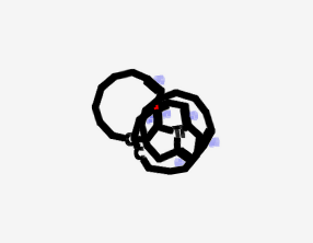 C1=C\CCCCCCCC/[C]([Ti](/[C]2=C\C=C/CCCCCCCC2)/[C]2=C\C=C/CCCCCCCC2)=C/1